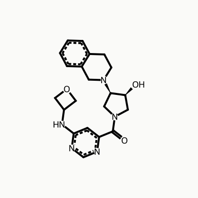 O=C(c1cc(NC2COC2)ncn1)N1C[C@@H](N2CCc3ccccc3C2)[C@@H](O)C1